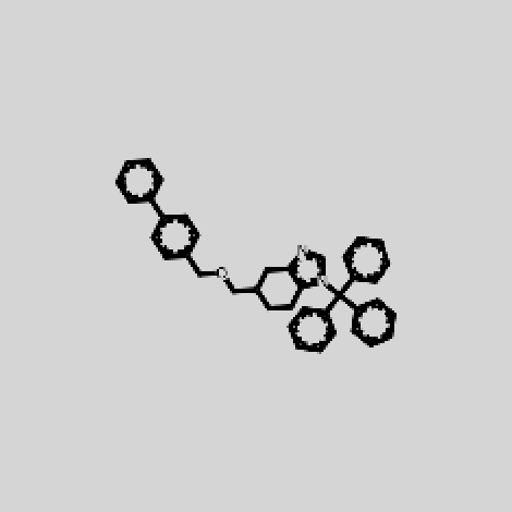 c1ccc(-c2ccc(COCC3CCc4c(ncn4C(c4ccccc4)(c4ccccc4)c4ccccc4)C3)cc2)cc1